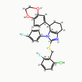 Fc1ccc(-n2c(SCc3c(F)cccc3Cl)nc3c2C(c2ccc4c(c2)OCCO4)CCC3)cc1